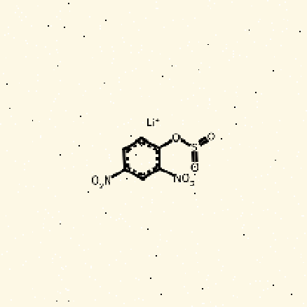 O=[N+]([O-])c1ccc(O[S-](=O)=O)c([N+](=O)[O-])c1.[Li+]